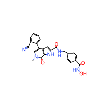 Cn1cc(-c2ccccc2C#N)c2cc(C(=O)NCc3ccc(C(=O)NO)cc3)[nH]c2c1=O